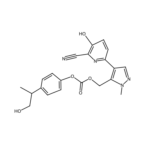 CC(CO)c1ccc(OC(=O)OCc2c(-c3ccc(O)c(C#N)n3)cnn2C)cc1